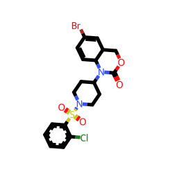 O=C1OCC2C=C(Br)C=CC2N1C1CCN(S(=O)(=O)c2ccccc2Cl)CC1